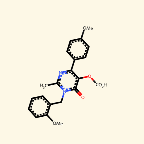 COc1ccc(-c2nc(C)n(Cc3ccccc3OC)c(=O)c2OC(=O)O)cc1